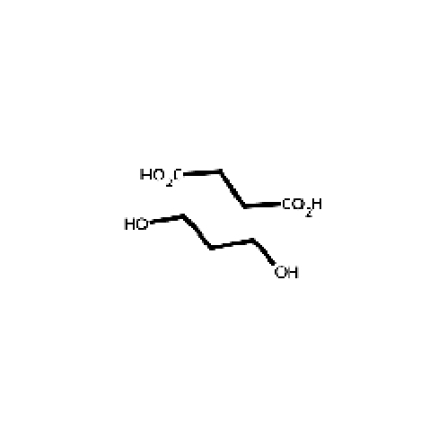 O=C(O)CCC(=O)O.OCCCO